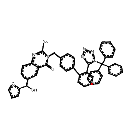 CCCCc1nc2ccc(C(O)c3ccco3)cc2c(=O)n1Cc1ccc(-c2ccccc2-c2nnnn2C(c2ccccc2)(c2ccccc2)c2ccccc2)cc1